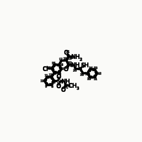 CC(=O)NS(=O)(=O)c1ccccc1-c1ccc(CC(C(N)=O)C(=O)NC[C@@H](S)Cc2ccccc2)cc1Cl